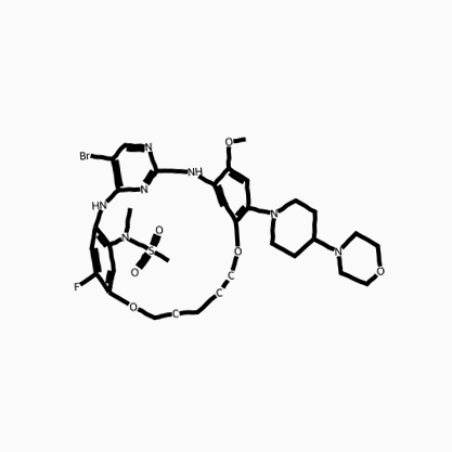 COc1cc(N2CCC(N3CCOCC3)CC2)c2cc1Nc1ncc(Br)c(n1)Nc1cc(F)c(cc1N(C)S(C)(=O)=O)OCCCCCO2